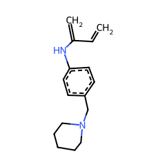 C=CC(=C)Nc1ccc(CN2CCCCC2)cc1